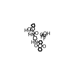 N[C@H](Cc1ccccc1Cl)C(=O)NC1CCC(Nc2cccc3c2C(=O)c2ccccc2C3=O)CC1.O=C(O)C(F)(F)F